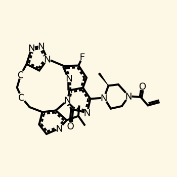 C=CC(=O)N1CCN(c2nc(=O)n3c4nc(c(F)cc24)-n2cc(nn2)CCCCc2ccnc(C(C)C)c2-3)[C@@H](C)C1